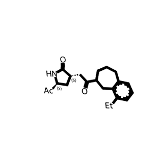 CCc1cccc2c1CC(C(=O)C[C@@H]1C[C@@H](C(C)=O)NC1=O)CCC2